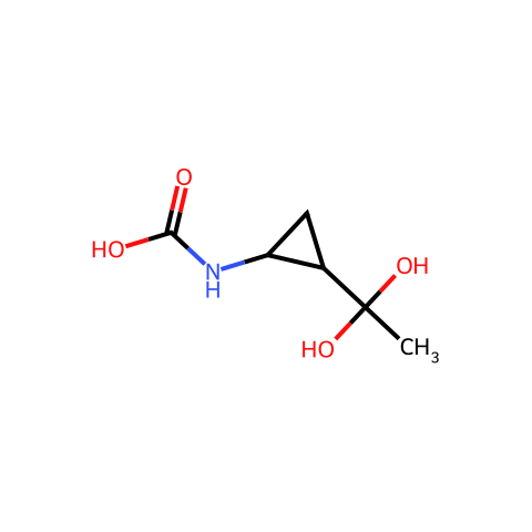 CC(O)(O)C1CC1NC(=O)O